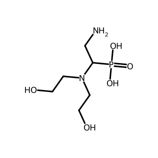 NCC(N(CCO)CCO)P(=O)(O)O